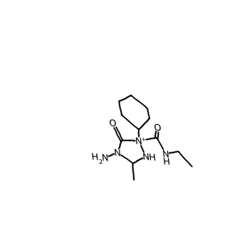 CCNC(=O)[N+]1(C2CCCCC2)NC(C)N(N)C1=O